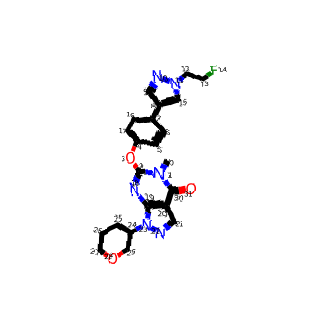 Cn1c(Oc2ccc(-c3cnn(CCF)c3)cc2)nc2c(cnn2C2CCCOC2)c1=O